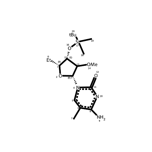 CC[C@H]1O[C@@H](n2cc(C)c(N)nc2=O)C(OC)[C@H]1O[Si](C)(C)C(C)(C)C